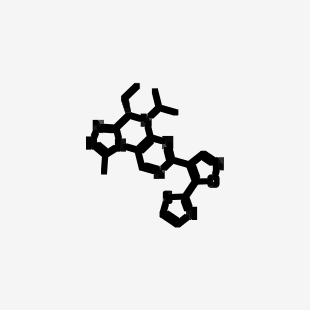 CC[C@@H]1c2nnc(C)n2-c2cnc(-c3cnoc3-c3nccs3)nc2N1C(C)C